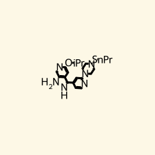 CCCSN1CCN(c2cc(C(=N)c3cc(OC(C)C)ncc3N)ccn2)CC1